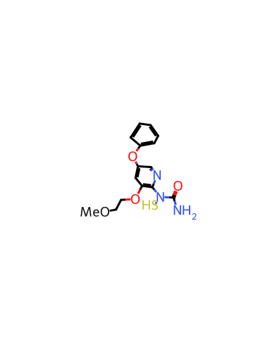 COCCOc1cc(Oc2ccccc2)cnc1N(S)C(N)=O